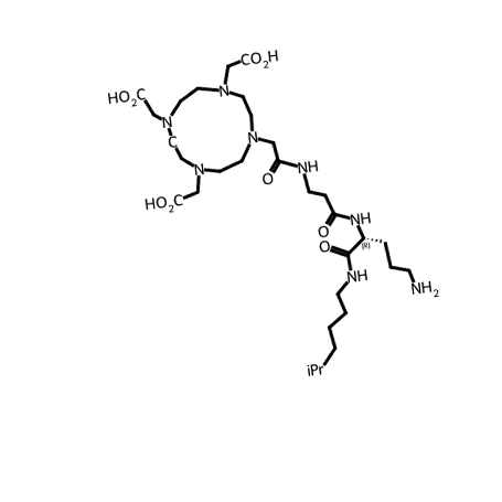 CC(C)CCCCNC(=O)[C@@H](CCCN)NC(=O)CCNC(=O)CN1CCN(CC(=O)O)CCN(CC(=O)O)CCN(CC(=O)O)CC1